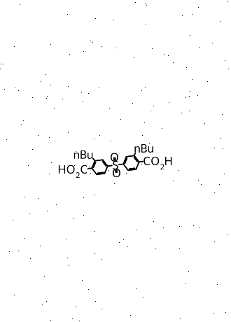 CCCCc1cc(S(=O)(=O)c2ccc(C(=O)O)c(CCCC)c2)ccc1C(=O)O